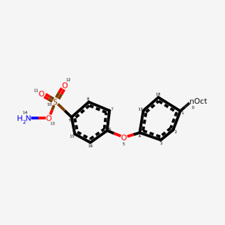 CCCCCCCCc1ccc(Oc2ccc(S(=O)(=O)ON)cc2)cc1